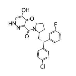 O=C(c1n[nH]cc(O)c1=O)N1CCC[C@H]1[CH][C@@H](c1ccc(Cl)cc1)c1cccc(F)c1